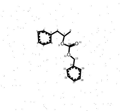 CC(Cc1ccccc1)OC(=O)OCc1ccccc1